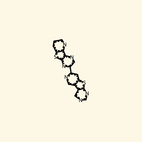 c1cnc2c(c1)sc1nc(-c3cc4sc5ncncc5c4cn3)cnc12